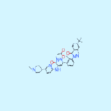 CCN1CCC(c2ccc(Nc3cc(-c4cccc(-n5ncc6cc(C(C)(C)C)ccc6c5=O)c4COC(C)=O)nn(C)c3=O)nc2)CC1